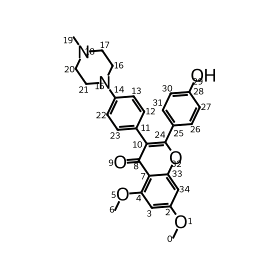 COc1cc(OC)c2c(=O)c(-c3ccc(N4CCN(C)CC4)cc3)c(-c3ccc(O)cc3)oc2c1